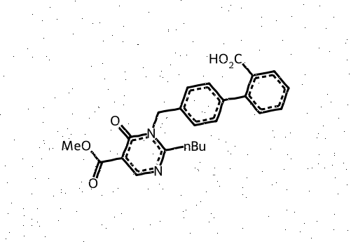 CCCCc1ncc(C(=O)OC)c(=O)n1Cc1ccc(-c2ccccc2C(=O)O)cc1